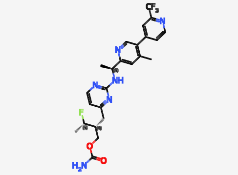 Cc1cc([C@H](C)Nc2nccc(C[C@H](COC(N)=O)[C@H](C)F)n2)ncc1-c1ccnc(C(F)(F)F)c1